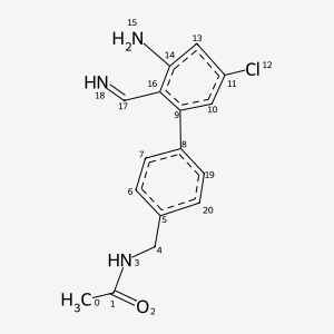 CC(=O)NCc1ccc(-c2cc(Cl)cc(N)c2C=N)cc1